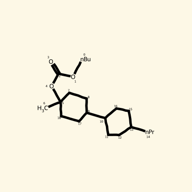 CCCCOC(=O)OC1(C)CCC(C2CCC(CCC)CC2)CC1